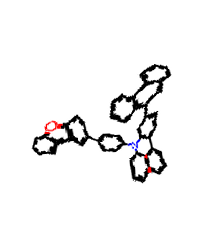 c1ccc(-c2ccc(-c3cc4ccccc4c4ccccc34)cc2N(c2ccccc2)c2ccc(-c3ccc4oc5ccccc5c4c3)cc2)cc1